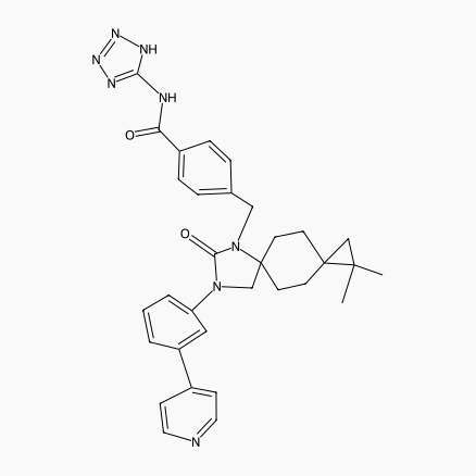 CC1(C)CC12CCC1(CC2)CN(c2cccc(-c3ccncc3)c2)C(=O)N1Cc1ccc(C(=O)Nc2nnn[nH]2)cc1